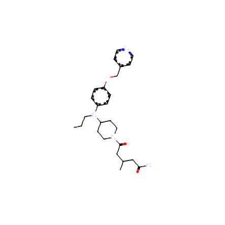 CC(C)CCN(c1ccc(OCc2ccncc2)cc1)C1CCN(C(=O)CC(C)CC(N)=O)CC1